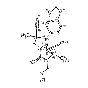 C=CCN1C(=O)[C@@]23C[C@](C)(C#N)[C@H](c4ccc5c(c4)OCO5)N2C(=O)[C@@]1(C)SS3